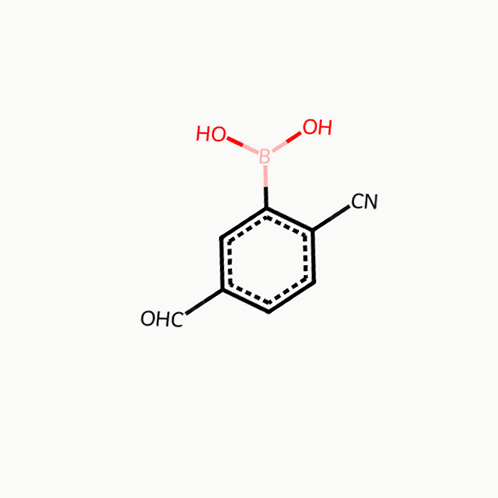 N#Cc1ccc(C=O)cc1B(O)O